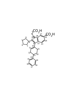 O=C(O)Cn1c(C2CCCC2)c(C2=CCC(c3ccccc3)CC2)c2ccc(C(=O)O)cc21